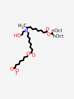 CCCCCCCCC(CCCCCCCC)OC(=O)CCCCCCC(C)N(CCO)CCCCCCCC(=O)OCCCCCCC(=O)OI